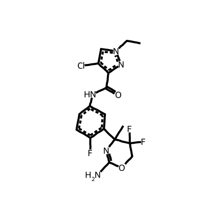 CCn1cc(Cl)c(C(=O)Nc2ccc(F)c(C3(C)N=C(N)OCC3(F)F)c2)n1